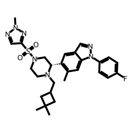 Cc1cc2c(cnn2-c2ccc(F)cc2)cc1[C@H]1CN(S(=O)(=O)c2cnn(C)n2)CCN1CC1CC(C)(C)C1